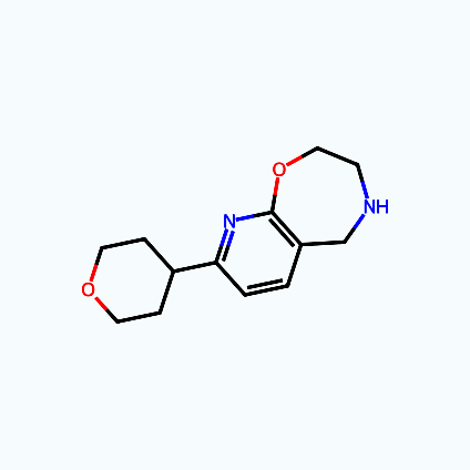 c1cc2c(nc1C1CCOCC1)OCCNC2